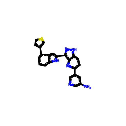 Nc1cncc(-c2ccc3[nH]nc(-c4cc5c(-c6ccsc6)cccc5[nH]4)c3n2)c1